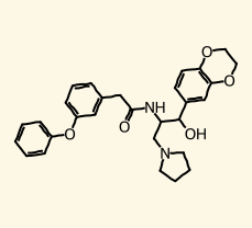 O=C(Cc1cccc(Oc2ccccc2)c1)NC(CN1CCCC1)C(O)c1ccc2c(c1)OCCO2